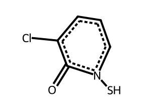 O=c1c(Cl)cccn1S